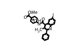 COC(=O)C12CCC(NC(=O)c3c(C)c(-c4ccccc4)nc4ccc(I)cc34)(CC1)CC2